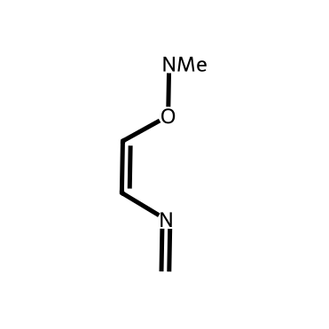 C=N/C=C\ONC